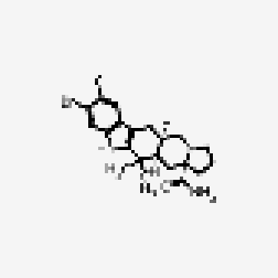 CC1(C)c2[nH]c3cc(Br)c(Cl)cc3c2C[C@H]2CN3CCC[C@@]3(C(N)=O)C[C@H]21